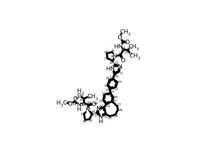 COC(=O)N[C@H](C(=O)N1CCC[C@H]1c1ncc(-c2ccc(-c3ccc4c(c3)CCCCc3[nH]c([C@@H]5CCCN5C(=O)[C@@H](NC(=O)OC)C(C)C)nc3-4)cc2)[nH]1)C(C)C